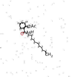 C=CCCCCCCCCC[AsH]C(=O)c1ccccc1OC(C)=O